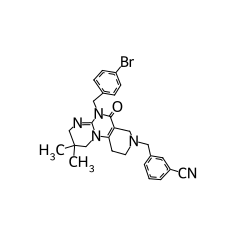 CC1(C)CN=C2N(Cc3ccc(Br)cc3)C(=O)C3=C(CCN(Cc4cccc(C#N)c4)C3)N2C1